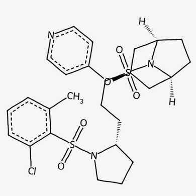 Cc1cccc(Cl)c1S(=O)(=O)N1CCC[C@H]1CCCS(=O)(=O)N1[C@@H]2CC[C@H]1C[C@@H](Oc1ccncc1)C2